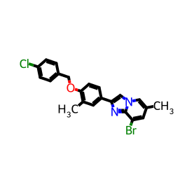 Cc1cc(Br)c2nc(-c3ccc(OCc4ccc(Cl)cc4)c(C)c3)cn2c1